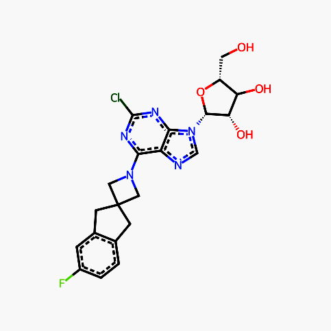 OC[C@H]1O[C@@H](n2cnc3c(N4CC5(Cc6ccc(F)cc6C5)C4)nc(Cl)nc32)[C@@H](O)C1O